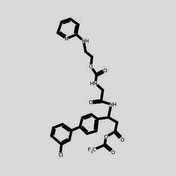 O=C(CNC(=O)OCCNc1ccccn1)NC(CC(=O)OC(=O)C(F)(F)F)c1ccc(-c2cccc(Cl)c2)cc1